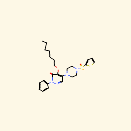 CCCCCCCOc1c(N2CCN(S(=O)(=O)c3cccs3)CC2)cnn(-c2ccccc2)c1=O